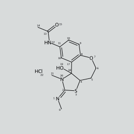 C/N=C1\SC2CCOc3ccc(NC(C)=O)cc3C2(O)N1C.Cl